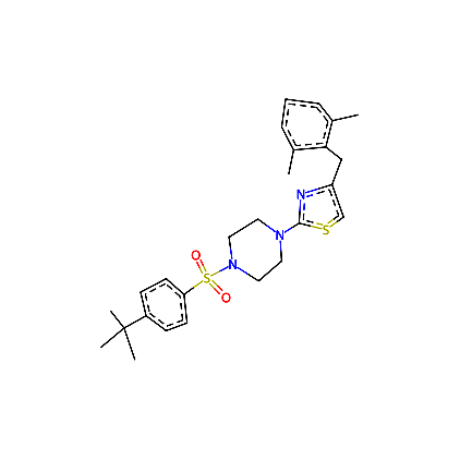 Cc1cccc(C)c1Cc1csc(N2CCN(S(=O)(=O)c3ccc(C(C)(C)C)cc3)CC2)n1